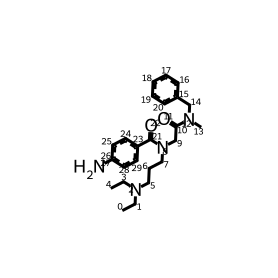 CCN(CC)CCCN(CC(=O)N(C)Cc1ccccc1)C(=O)c1ccc(N)cc1